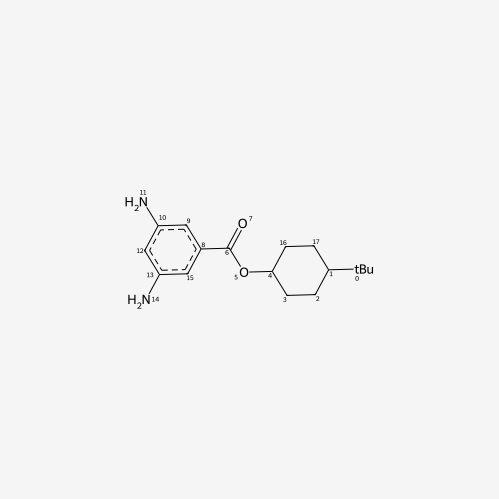 CC(C)(C)C1CCC(OC(=O)c2cc(N)cc(N)c2)CC1